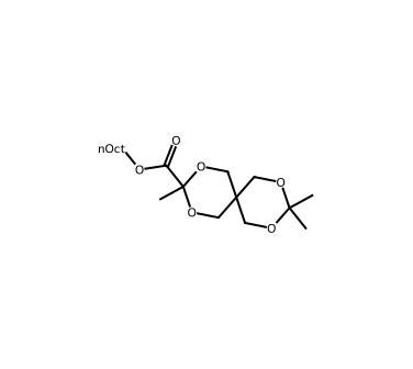 CCCCCCCCOC(=O)C1(C)OCC2(COC(C)(C)OC2)CO1